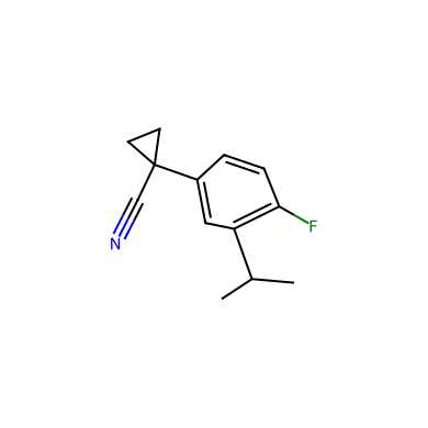 CC(C)c1cc(C2(C#N)CC2)ccc1F